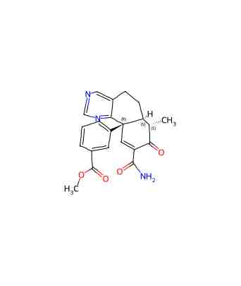 COC(=O)c1cccc([C@]23C=C(C(N)=O)C(=O)[C@@H](C)[C@@H]2CCc2cncnc23)c1